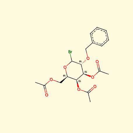 CC(=O)OC[C@H]1OC(Br)[C@H](OCc2ccccc2)[C@@H](OC(C)=O)[C@H]1OC(C)=O